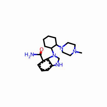 CN1CCN(C2CCCCC2N2CNc3cccc(C(N)=O)c32)CC1